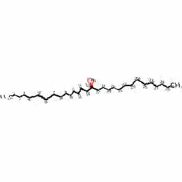 CCCCCCCCCCCCCCCC(=O)CCCCCCCCCCCCCC